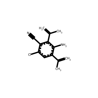 C=C(C)c1cc(Cl)c(C#N)c(C(=C)C)c1N